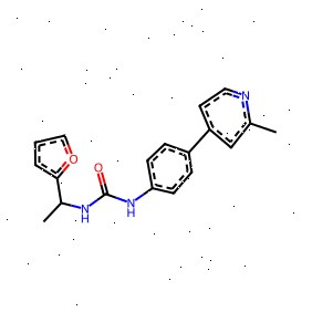 Cc1cc(-c2ccc(NC(=O)NC(C)c3ccco3)cc2)ccn1